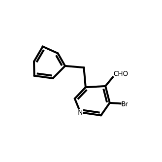 O=Cc1c(Br)cncc1Cc1ccccc1